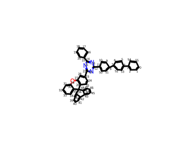 c1ccc(-c2ccc(-c3ccc(-c4nc(-c5ccccc5)nc(-c5ccc6c(c5)Oc5ccccc5C65c6ccccc6-c6ccccc65)n4)cc3)cc2)cc1